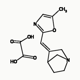 Cc1cnc(C=C2CN3CCC2C3)o1.O=C(O)C(=O)O